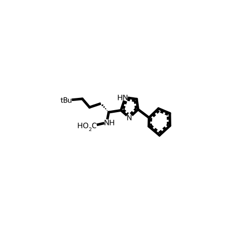 CC(C)(C)CCC[C@@H](NC(=O)O)c1nc(-c2ccccc2)c[nH]1